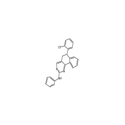 Clc1ccccc1C1Cc2cnc(Nc3ccccc3)nc2-c2ccccc21